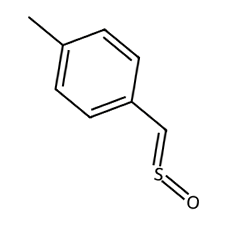 Cc1ccc(C=S=O)cc1